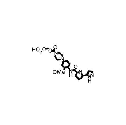 COc1cc(N2CCN(C(=O)OCC(=O)O)CC2)ccc1NC(=O)c1cccc(-c2ccn[nH]2)n1